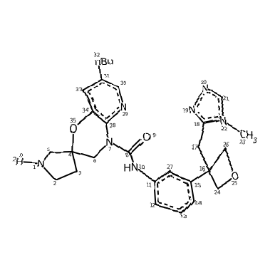 [2H]N1CCC2(C1)CN(C(=O)Nc1cccc(C3(Cc4nncn4C)COC3)c1)c1ncc(CCCC)cc1O2